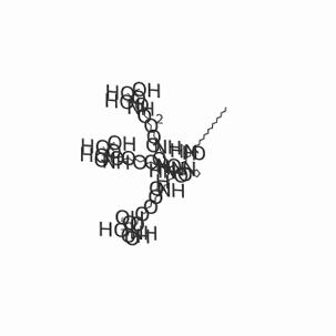 CCCCCCCCCCCCCCCC(=O)NCCCCC(NC(=O)C(CCCCNC(=O)COCCOCCOCCO[C@@H]1O[C@H](CO)[C@H](O)[C@H](O)[C@H]1NC(C)=O)NC(=O)C(CCCCNC(=O)COCCOCCOCCO[C@@H]1O[C@H](CO)[C@H](O)[C@H](O)[C@H]1N)NC(=O)COCCOCCOCCO[C@@H]1O[C@H](CO)[C@H](O)[C@H](O)[C@H]1NC(C)=O)C(=O)NC1CCCC1